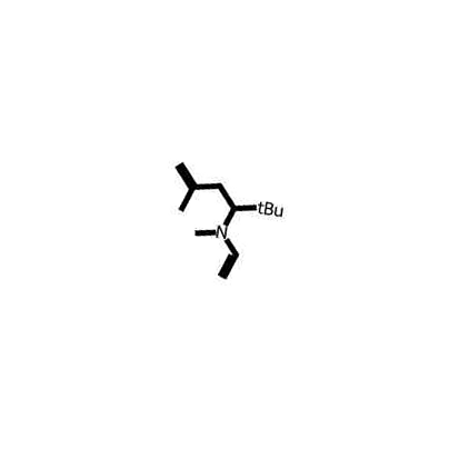 C=CN(C)C(CC(=C)C)C(C)(C)C